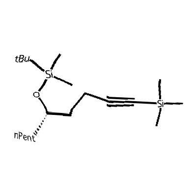 CCCCC[C@@H](CCC#C[Si](C)(C)C)O[Si](C)(C)C(C)(C)C